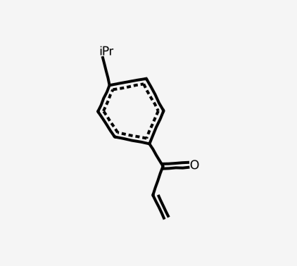 C=CC(=O)c1ccc(C(C)C)cc1